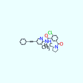 Cc1cc(C#Cc2ccccc2)cnc1NC(=O)c1cc(C(=O)N2CCCC2C)ccc1Cl